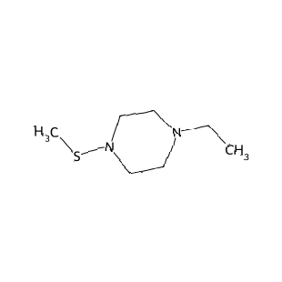 CCN1CCN(SC)CC1